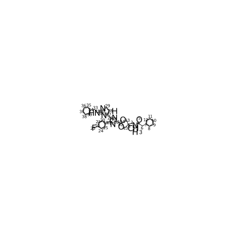 CC1(CNC(=O)Cc2ccccc2)COC(c2nc(-c3ccc(F)cc3)c(-c3ccnc(NCc4ccccc4)n3)[nH]2)OC1